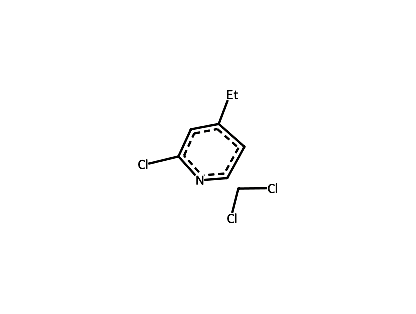 CCc1ccnc(Cl)c1.ClCCl